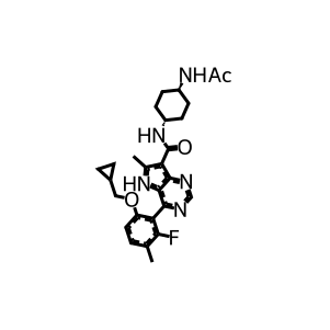 CC(=O)N[C@H]1CC[C@H](NC(=O)c2c(C)[nH]c3c(-c4c(OCC5CC5)ccc(C)c4F)ncnc23)CC1